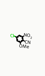 COc1cc(Cl)cc([N+](=O)[O-])c1C#N